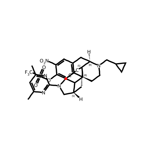 Cc1cc(C)nc(N2C[C@H]3C[C@@]45CCC2C3[C@@]42CCN(CC3CC3)[C@@H]5Cc3cc([N+](=O)[O-])c(OS(=O)(=O)C(F)(F)F)cc32)n1